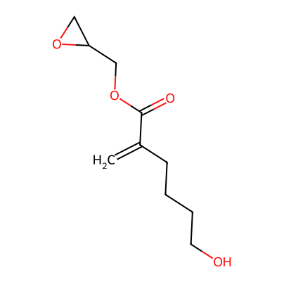 C=C(CCCCO)C(=O)OCC1CO1